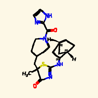 CC1(CC2CCN(C(=O)c3ncc[nH]3)CC2)SC(N[C@H]2C[C@@H]3CC[C@H]2C3)=NC1=O